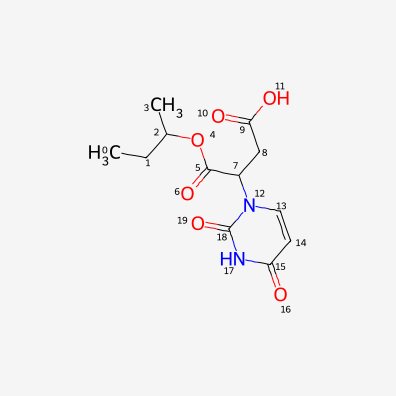 CCC(C)OC(=O)C(CC(=O)O)n1ccc(=O)[nH]c1=O